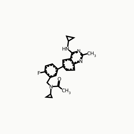 CC(=O)N(Cc1cc(-c2ccc3nc(C)nc(NC4CC4)c3c2)ccc1F)C1CC1